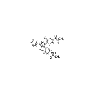 CNC(=O)c1ccc(-n2nc(-c3cccnc3)c3c2-c2sc(NC(C)=O)nc2CC3)c(Br)c1